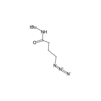 CC(C)(C)NC(=O)CCCN=[N+]=[N-]